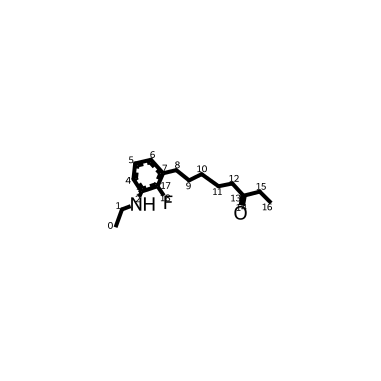 CCNc1cccc(CCCCCC(=O)CC)c1F